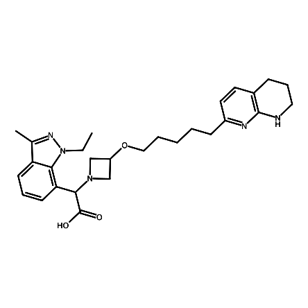 CCn1nc(C)c2cccc(C(C(=O)O)N3CC(OCCCCCc4ccc5c(n4)NCCC5)C3)c21